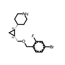 Fc1cc(Br)ccc1COC[C@@H]1C[C@@H]1C1CCNCC1